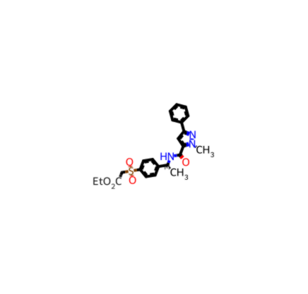 CCOC(=O)CS(=O)(=O)c1ccc([C@@H](C)NC(=O)c2cc(-c3ccccc3)nn2C)cc1